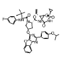 C=C[C@@H]1CC1(NC(=O)[C@@H]1C[C@@H](Oc2nc(-c3ccc(OC(C)C)cc3)nc3c2oc2ccccc23)CN1C(=O)[C@@H](Nc1ccc(F)cc1)C(C)(C)C)C(=O)NS(=O)(=O)C1CC1